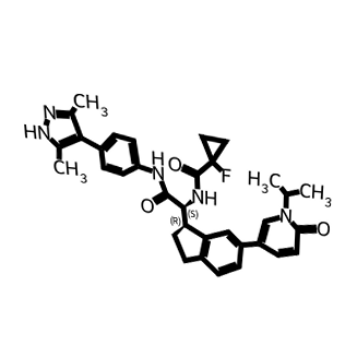 Cc1n[nH]c(C)c1-c1ccc(NC(=O)[C@@H](NC(=O)C2(F)CC2)[C@@H]2CCc3ccc(-c4ccc(=O)n(C(C)C)c4)cc32)cc1